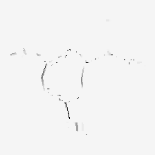 Cc1cc(C)cc(C(C)F)c1